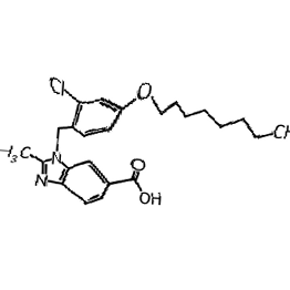 CCCCCCCCOc1ccc(Cn2c(C)nc3ccc(C(=O)O)cc32)c(Cl)c1